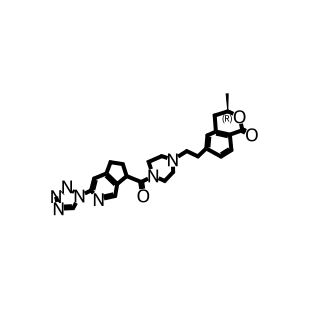 C[C@@H]1Cc2cc(CCN3CCN(C(=O)C4CCc5cc(-n6cnnn6)ncc54)CC3)ccc2C(=O)O1